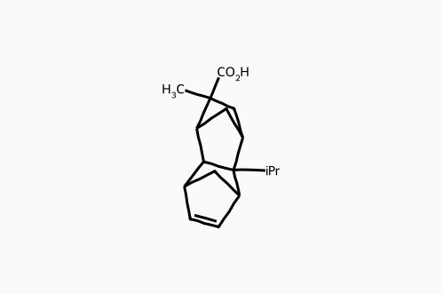 CC(C)C12C3C=CC(C3)C1C1CC2CC1(C)C(=O)O